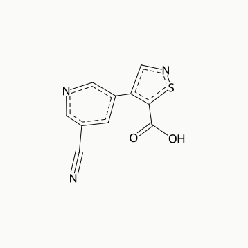 N#Cc1cncc(-c2cnsc2C(=O)O)c1